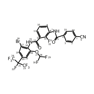 N#Cc1ccc(C(=O)Nc2cccc(C(=O)Nc3c(Br)cc(C(F)(C(F)(F)F)C(F)(F)F)cc3OC(F)F)c2F)cc1